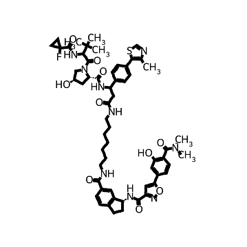 Cc1ncsc1-c1ccc(C(CC(=O)NCCCCCCCNC(=O)c2ccc3c(c2)[C@H](NC(=O)c2cc(-c4ccc(C(=O)N(C)C)c(O)c4)on2)CC3)NC(=O)[C@@H]2C[C@@H](O)CN2C(=O)C(NC(=O)C2(F)CC2)C(C)(C)C)cc1